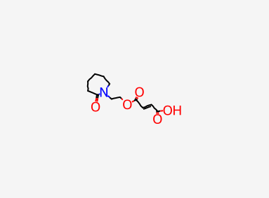 O=C(O)C=CC(=O)OCCN1CCCCCC1=O